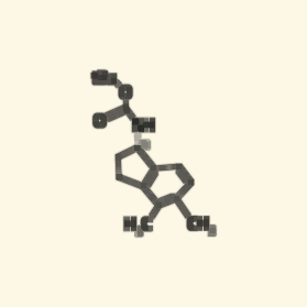 Cc1ccc2c(c1C)CC[C@@H]2NC(=O)OC(C)(C)C